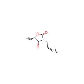 C=CC[C@H]1C(=O)O[C@H](C(C)(C)C)C1=O